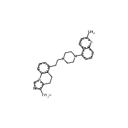 Cc1ccc2c(N3CCN(CCc4cccc5c4CCc4c(C(=O)O)ncn4-5)CC3)cccc2n1